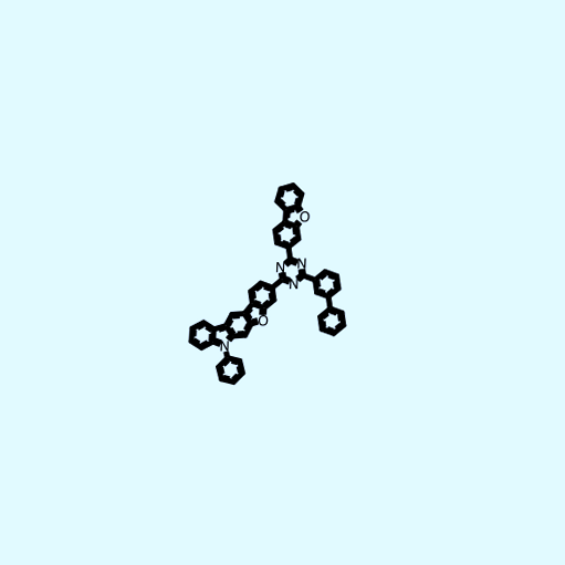 c1ccc(-c2cccc(-c3nc(-c4ccc5c(c4)oc4ccccc45)nc(-c4ccc5c(c4)oc4cc6c(cc45)c4ccccc4n6-c4ccccc4)n3)c2)cc1